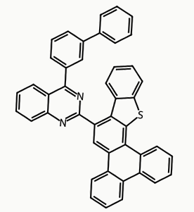 c1ccc(-c2cccc(-c3nc(-c4cc5c6ccccc6c6ccccc6c5c5sc6ccccc6c45)nc4ccccc34)c2)cc1